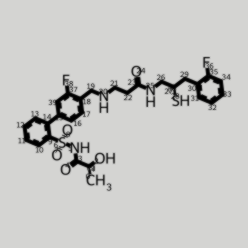 C[C@H](O)C(=O)NS(=O)(=O)c1ccccc1-c1ccc(CNCCC(=O)NC[C@H](S)Cc2ccccc2F)c(F)c1